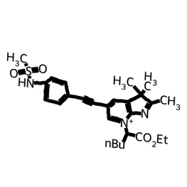 CCCCC(C(=O)OCC)[n+]1cc(C#Cc2ccc(NS(C)(=O)=O)cc2)cc2c1N=C(C)C2(C)C